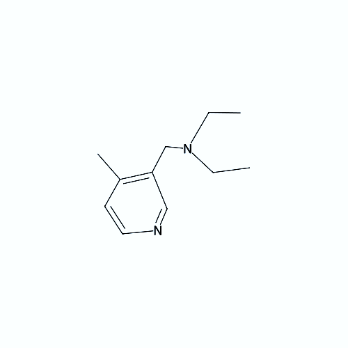 CCN(CC)Cc1cnccc1C